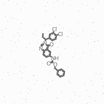 CCC(c1ccc(Cl)c(Cl)c1)n1cnc2ccc(NC(=O)OCc3ccccc3)cc2c1=O